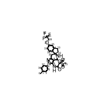 Cc1ccc(-n2nc3c(c2NC(=O)CS(C)(=O)=O)C(=O)N[C@]2(CCc4cc(OCC(F)(F)F)ccc42)C3)cc1